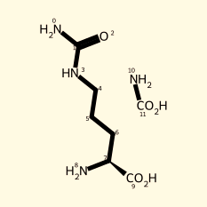 NC(=O)NCCC[C@H](N)C(=O)O.NC(=O)O